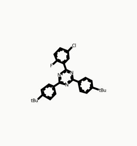 CC(C)(C)c1ccc(-c2nc(-c3ccc(C(C)(C)C)cc3)nc(-c3cc(Cl)ccc3F)n2)cc1